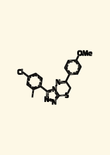 COc1ccc(C2=Nn3c(nnc3-c3ccc(Cl)cc3C)SC2)cc1